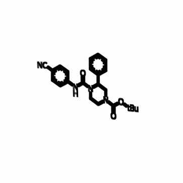 CC(C)(C)OC(=O)N1CCN(C(=O)Nc2ccc(C#N)cc2)C(c2ccccc2)C1